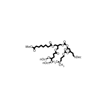 CCCCCCCCCCCCC(CCOC(=O)OCC(COC(=O)CCCCCCC(=O)OC)COC(=O)CCC(OCCCCCCCC)OCCCCCCCC)OC(O)OCCCN(C)C